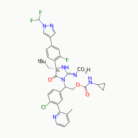 Cc1cccnc1-c1cc(C(COC(=O)NC2CC2)N2C(=O)[C@@](CC(C)(C)C)(c3ccc(-c4cnn(C(F)F)c4)cc3F)NC2=NC(=O)O)ccc1Cl